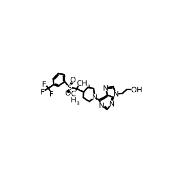 CC(C)(C1CCN(c2ncnc3c2ncn3CCO)CC1)S(=O)(=O)c1cccc(C(F)(F)F)c1